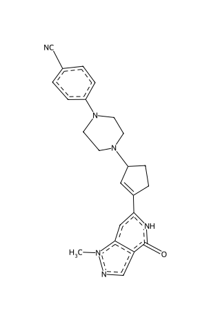 Cn1ncc2c(=O)[nH]c(C3=CC(N4CCN(c5ccc(C#N)cc5)CC4)CC3)cc21